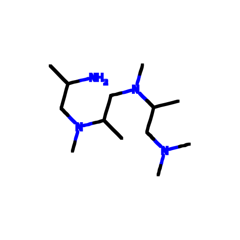 CC(N)CN(C)C(C)CN(C)C(C)CN(C)C